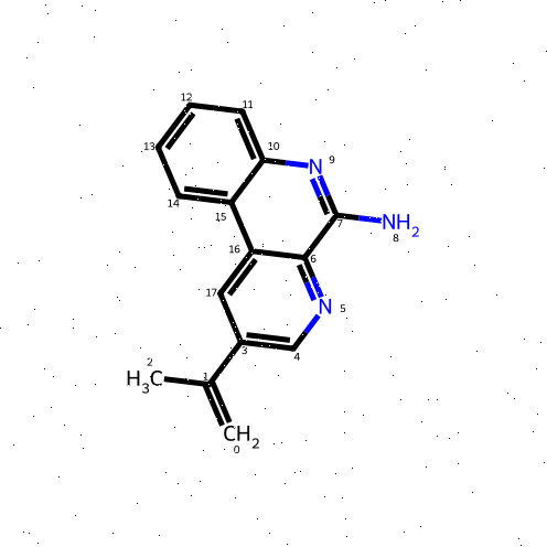 C=C(C)c1cnc2c(N)nc3ccccc3c2c1